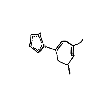 CC1=CC(C)CC(n2cccn2)=C1